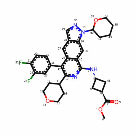 COC(=O)[C@H]1C[C@H](Nc2nc(C3CCOCC3)c(-c3ccc(F)c(F)c3)c3cc4cnn(C5CCCCO5)c4cc23)C1